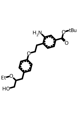 CCOC(CO)Cc1ccc(OCCc2ccc(C(=O)OC(C)(C)C)cc2N)cc1